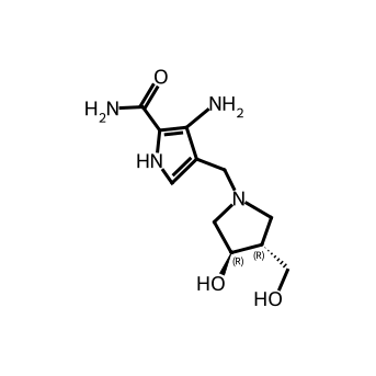 NC(=O)c1[nH]cc(CN2C[C@H](CO)[C@@H](O)C2)c1N